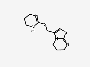 C1=C(CSC2=NCCCN2)N2CCCN=C2S1